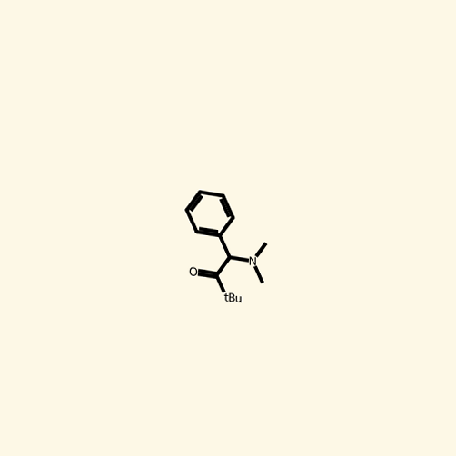 CN(C)C(C(=O)C(C)(C)C)c1ccccc1